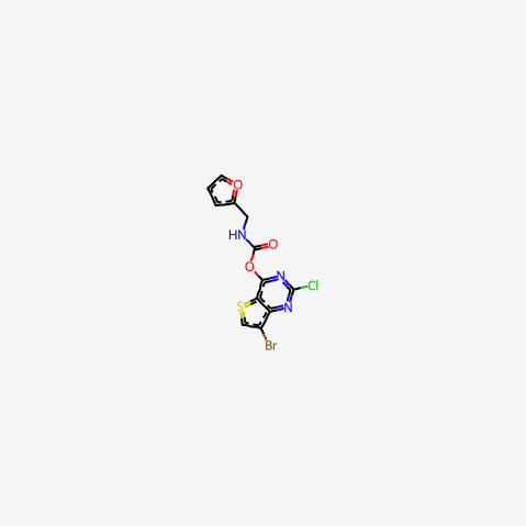 O=C(NCc1ccco1)Oc1nc(Cl)nc2c(Br)csc12